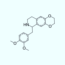 COc1ccc(CC2NCCc3cc4c(cc32)OCCO4)cc1OC